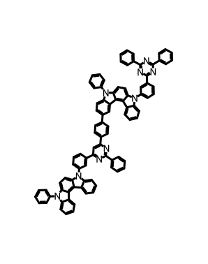 c1ccc(-c2nc(-c3ccc(-c4ccc5c(c4)c4c6c7ccccc7n(-c7cccc(-c8nc(-c9ccccc9)nc(-c9ccccc9)n8)c7)c6ccc4n5-c4ccccc4)cc3)cc(-c3cccc(-n4c5ccccc5c5c6c7ccccc7n(-c7ccccc7)c6ccc54)c3)n2)cc1